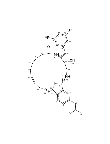 CC(C)Cc1ccc2c(c1)[C@@H]1C[C@H]2OC/C=C\CCCCC(=O)N[C@@H](Cc2cc(F)cc(F)c2)[C@H](O)CN1